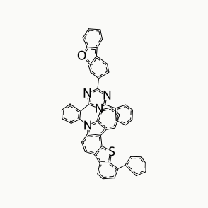 c1ccc(-c2nc(-c3ccc4c(c3)oc3ccccc34)nc(-c3ccccc3-n3c4ccccc4c4c5sc6c(-c7ccccc7)cccc6c5ccc43)n2)cc1